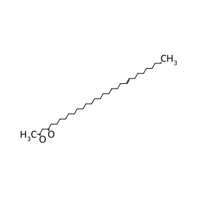 CCCCCCCCC=CCCCCCCCCCCCCCCCCCC(=O)CC(C)=O